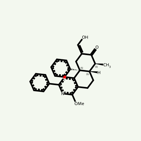 COc1nc(-c2ccccc2)nc2c1CC[C@H]1[C@H](C)C(=O)C(=CO)C[C@]21c1ccccc1